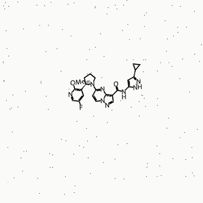 COc1ncc(F)cc1[C@H]1CCCN1c1ccn2ncc(C(=O)Nc3cc(C4CC4)n[nH]3)c2n1